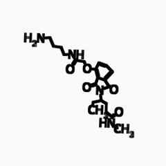 CCC(CCC(=O)NC)N1C(=O)c2cccc(OCC(=O)NCCCCN)c2C1=O